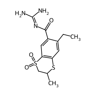 CCc1cc2c(cc1C(=O)N=C(N)N)S(=O)(=O)CC(C)S2